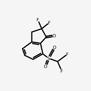 O=C1c2c(cccc2S(=O)(=O)C(F)F)CC1(F)F